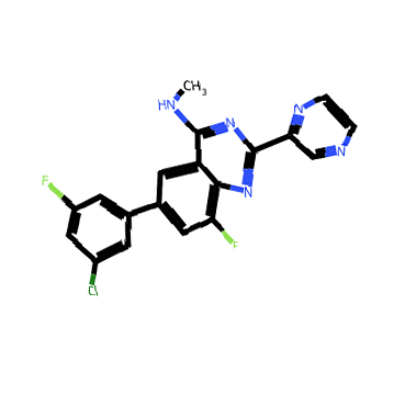 CNc1nc(-c2cnccn2)nc2c(F)cc(-c3cc(F)cc(Cl)c3)cc12